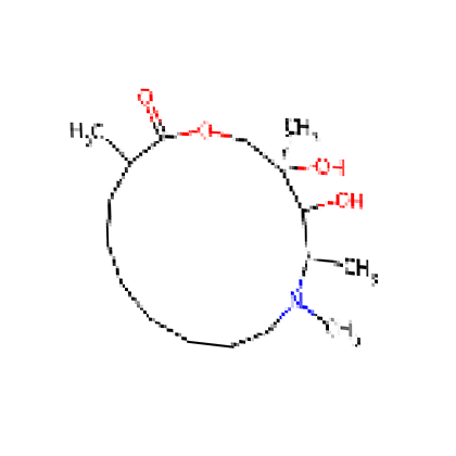 CC1CCCCCCCN(C)C(C)C(O)[C@](C)(O)COC1=O